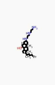 CC(C)CCC[C@@H](C)[C@H]1CCC2C3C(CC[C@@]21C)[C@@]1(C)CC[C@H](NCCCNCCCN)C[C@@H]1C[C@@H]3O